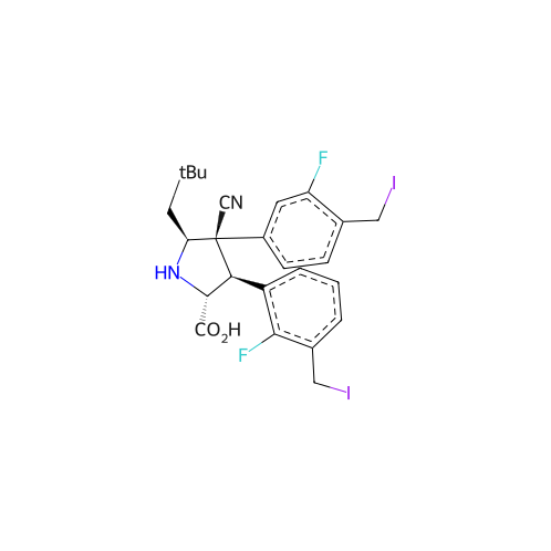 CC(C)(C)C[C@@H]1N[C@@H](C(=O)O)[C@H](c2cccc(CI)c2F)[C@@]1(C#N)c1ccc(CI)c(F)c1